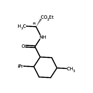 CCOC(=O)[C@@H](C)NC(=O)C1CC(C)CCC1C(C)C